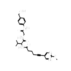 CSc1ncc(C#CCCCC(=O)NC(C(=O)NCC(=O)Nc2ccc(CO)cc2)C(C)C)cn1